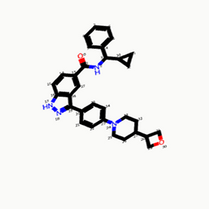 O=C(NC(c1ccccc1)C1CC1)c1ccc2[nH]nc(-c3ccc(N4CCC(C5COC5)CC4)cc3)c2c1